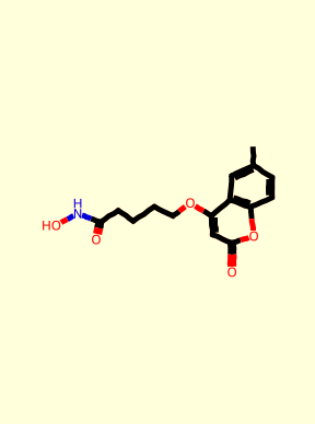 Cc1ccc2oc(=O)cc(OCCCCC(=O)NO)c2c1